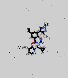 C=Cc1cc(-c2cn(CC)nc2C(F)(F)F)c2ncn([C@H](c3cc(OC)ccn3)C3CC3)c(=O)c2c1